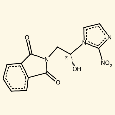 O=C1c2ccccc2C(=O)N1C[C@@H](O)n1ccnc1[N+](=O)[O-]